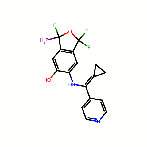 Oc1cc2c(cc1NC(=C1CC1)c1ccncc1)C(F)(F)OC2(F)P